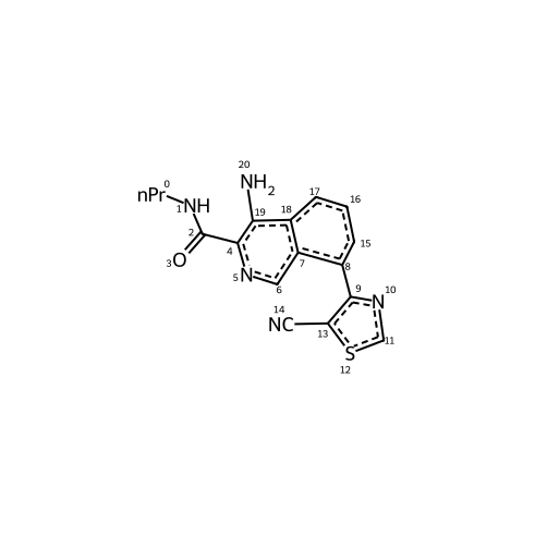 CCCNC(=O)c1ncc2c(-c3ncsc3C#N)cccc2c1N